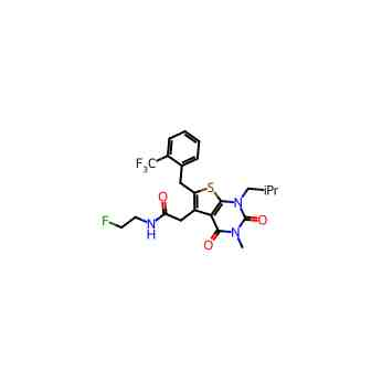 CC(C)Cn1c(=O)n(C)c(=O)c2c(CC(=O)NCCF)c(Cc3ccccc3C(F)(F)F)sc21